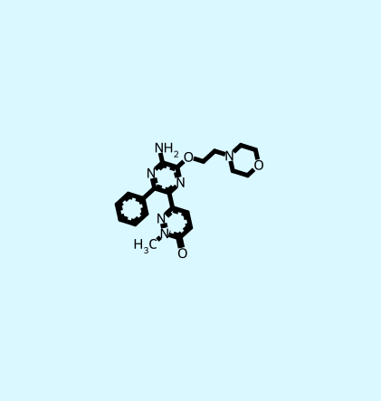 Cn1nc(-c2nc(OCCN3CCOCC3)c(N)nc2-c2ccccc2)ccc1=O